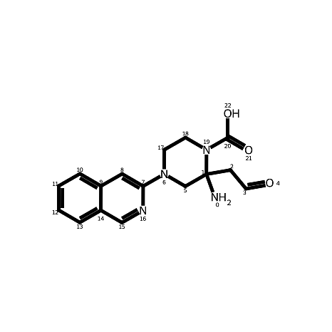 NC1(CC=O)CN(c2cc3ccccc3cn2)CCN1C(=O)O